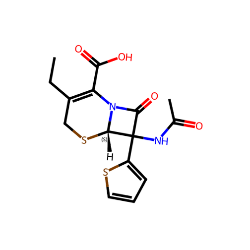 CCC1=C(C(=O)O)N2C(=O)C(NC(C)=O)(c3cccs3)[C@@H]2SC1